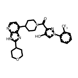 O=C(c1nn(-c2ccccc2C(F)(F)F)cc1O)N1CCC(c2ccnc3[nH]c(C4CCOCC4)nc23)CC1